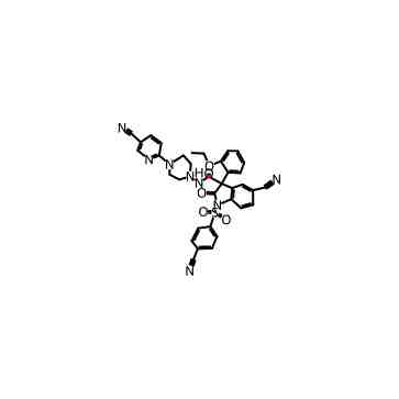 CCOc1ccccc1C1(C(=O)NN2CCN(c3ccc(C#N)cn3)CC2)C(=O)N(S(=O)(=O)c2ccc(C#N)cc2)c2ccc(C#N)cc21